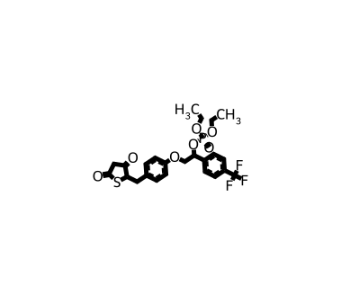 CCOP(=O)(OCC)OC(COc1ccc(CC2SC(=O)CC2=O)cc1)c1ccc(C(F)(F)F)cc1